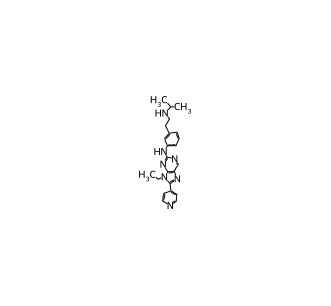 CCn1c(-c2ccncc2)nc2cnc(Nc3cccc(CCNC(C)C)c3)nc21